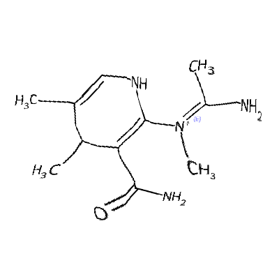 CC1=CNC(/[N+](C)=C(\C)N)=C(C(N)=O)C1C